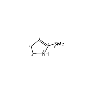 CSC1=CCCN1